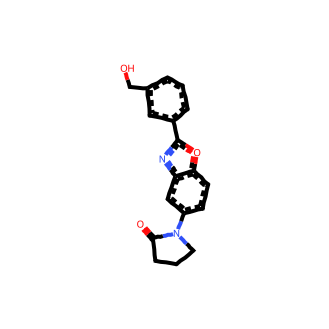 O=C1CCCN1c1ccc2oc(-c3cccc(CO)c3)nc2c1